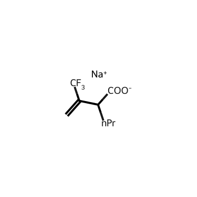 C=C(C(CCC)C(=O)[O-])C(F)(F)F.[Na+]